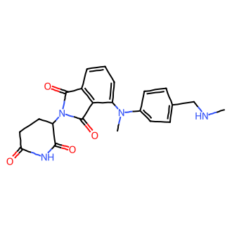 CNCc1ccc(N(C)c2cccc3c2C(=O)N(C2CCC(=O)NC2=O)C3=O)cc1